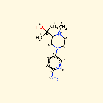 CN1CCN(c2ccc(N)nc2)CC1C(C)(C)O